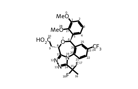 COc1cccc([C@@H]2O[C@@H](CC(=O)O)c3nnc(C(C)(F)F)n3-c3ccc(C(F)(F)F)cc32)c1OC